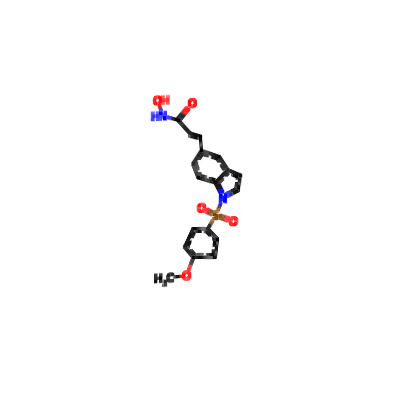 COc1ccc(S(=O)(=O)n2ccc3cc(/C=C/C(=O)NO)ccc32)cc1